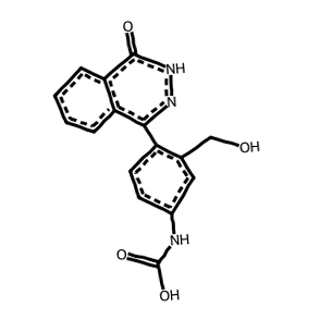 O=C(O)Nc1ccc(-c2n[nH]c(=O)c3ccccc23)c(CO)c1